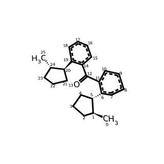 C[C@H]1CCC[C@@H]1c1ccccc1C(=O)c1ccccc1[C@H]1CCC[C@@H]1C